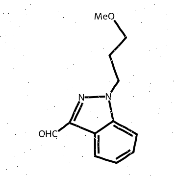 COCCCn1nc(C=O)c2ccccc21